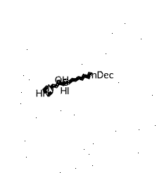 CCCCCCCCCCCCCCCCCCOCC(O)CCN1CCNCC1.I